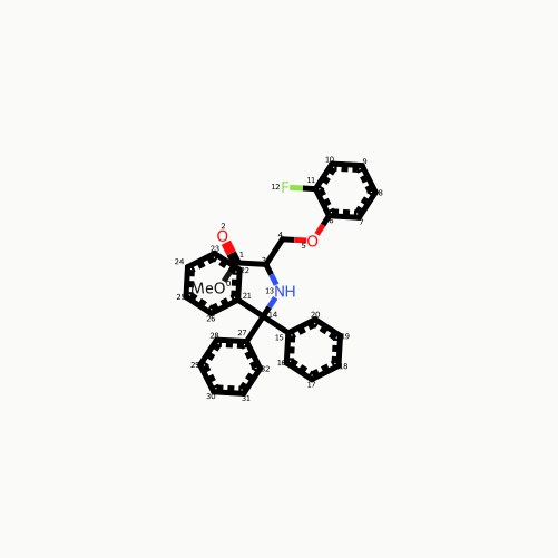 COC(=O)C(COc1ccccc1F)NC(c1ccccc1)(c1ccccc1)c1ccccc1